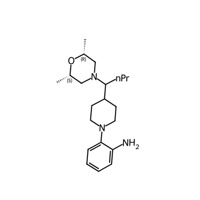 CCCC(C1CCN(c2ccccc2N)CC1)N1C[C@@H](C)O[C@@H](C)C1